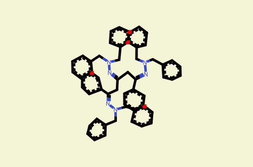 c1ccc(CN(Cc2ccccc2)N=C(C/C(=N\N(Cc2ccccc2)Cc2ccccc2)c2ccccc2)C/C(=N\N(Cc2ccccc2)Cc2ccccc2)c2ccccc2)cc1